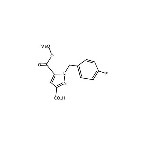 COOC(=O)c1cc(C(=O)O)nn1Cc1ccc(F)cc1